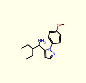 CCC(CC)C(N)c1ccnn1-c1ccc(OC)cc1